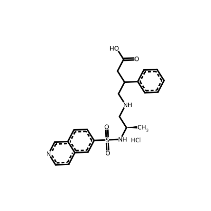 C[C@H](CNCC(CC(=O)O)c1ccccc1)NS(=O)(=O)c1ccc2cnccc2c1.Cl